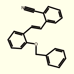 N#Cc1ccccc1/C=C/c1ccccc1OCc1ccccc1